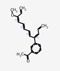 C=C\C=C(/C=C/C=C/C=C(\C=C)OC)c1cccc(C(C)=O)c1